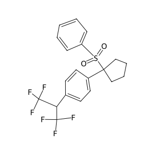 O=S(=O)(c1ccccc1)C1(c2ccc(C(C(F)(F)F)C(F)(F)F)cc2)CCCC1